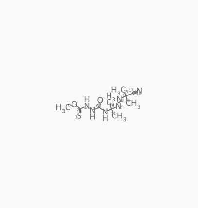 COC(=S)NNC(=O)NC(C)(C)N=NC(C)(C)C#N